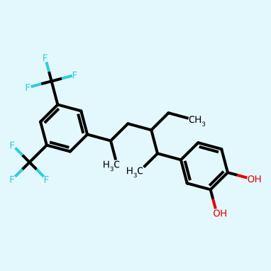 CCC(CC(C)c1cc(C(F)(F)F)cc(C(F)(F)F)c1)C(C)c1ccc(O)c(O)c1